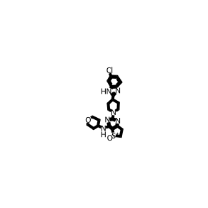 [O-][S+]1CCc2nc(N3CCC(c4nc5ccc(Cl)cc5[nH]4)CC3)nc(NC3CCOCC3)c21